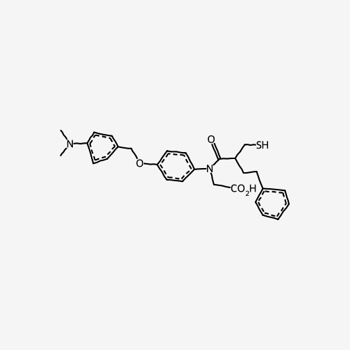 CN(C)c1ccc(COc2ccc(N(CC(=O)O)C(=O)C(CS)CCc3ccccc3)cc2)cc1